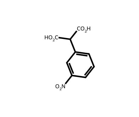 O=C(O)C(C(=O)O)c1cccc([N+](=O)[O-])c1